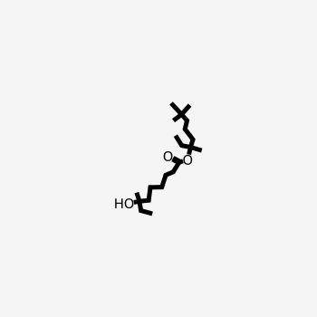 CCC(C)(O)CCCCCC(=O)OC(C)(CC)CCCC(C)(C)C